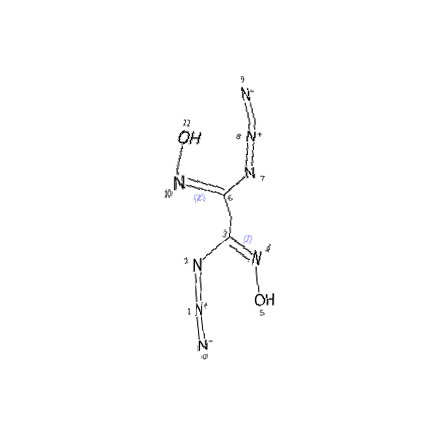 [N-]=[N+]=NC(=N\O)/C(N=[N+]=[N-])=N/O